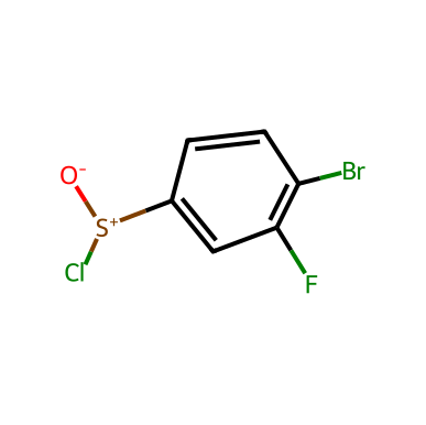 [O-][S+](Cl)c1ccc(Br)c(F)c1